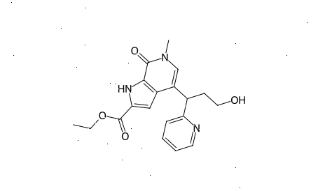 CCOC(=O)c1cc2c(C(CCO)c3ccccn3)cn(C)c(=O)c2[nH]1